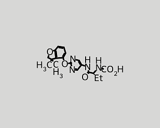 CC[C@@H](NC(=O)O)C(=O)Nc1cnc(Oc2cccc3c2C(C)(C)CO3)nc1